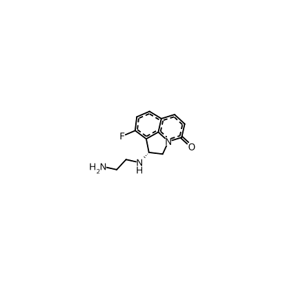 NCCN[C@H]1Cn2c(=O)ccc3ccc(F)c1c32